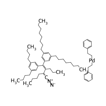 CCCCCCCCc1cc(CCCCCCCC)cc(C(=C(CCC)C(=C=[N+]=[N-])CCCC)c2cc(CCCC)cc(CCCC)c2)c1.c1ccc(C[CH2][Pd][CH2]Cc2ccccc2)cc1